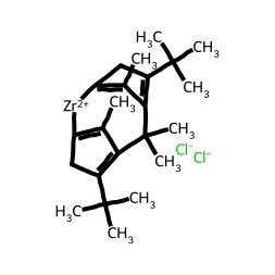 CC1=[C]2CC(C(C)(C)C)=C1C(C)(C)C1=C(C(C)(C)C)C[C](=C1C)[Zr+2]2.[Cl-].[Cl-]